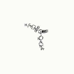 CC(C)N1CCN(c2ccc(-c3cccc(S(=O)(=O)N4CCN(C)CC4)c3)cn2)CC1.Cl.Cl.Cl